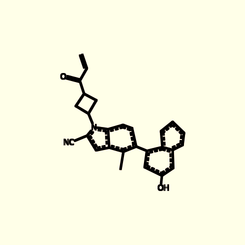 C=CC(=O)C1CC(n2c(C#N)cc3c(C)c(-c4cc(O)cc5ccccc45)ccc32)C1